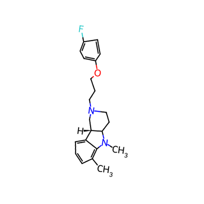 Cc1cccc2c1N(C)C1CCN(CCCOc3ccc(F)cc3)C[C@@H]21